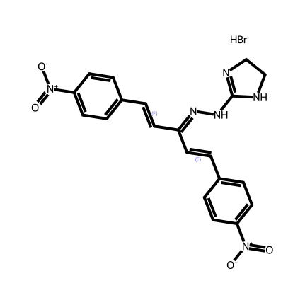 Br.O=[N+]([O-])c1ccc(/C=C/C(/C=C/c2ccc([N+](=O)[O-])cc2)=NNC2=NCCN2)cc1